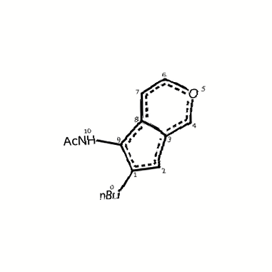 CCCCc1cc2coccc-2c1NC(C)=O